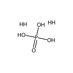 O=P(O)(O)O.[HH].[HH]